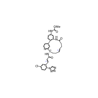 COC(=O)Nc1ccc2c(c1)NC(=O)CC/C=C/CC[C@H](NC(=O)/C=C/c1cc(Cl)ccc1-n1cnnn1)c1cc-2ccn1